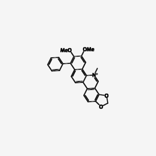 COc1cc2c(ccc3c4ccc5c(c4c[n+](C)c23)OCO5)c(-c2ccccc2)c1OC